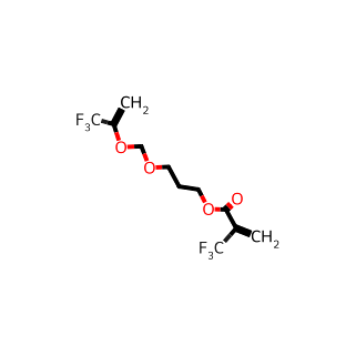 C=C(OCOCCCOC(=O)C(=C)C(F)(F)F)C(F)(F)F